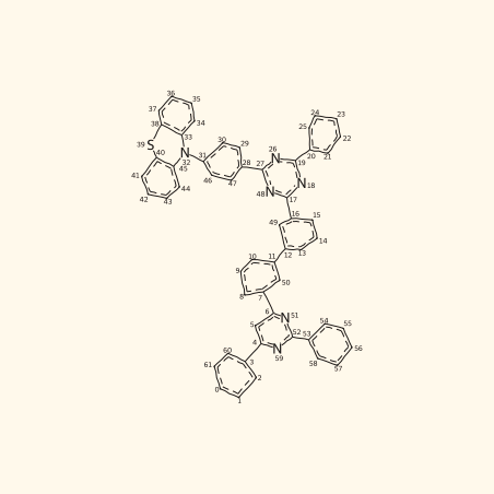 c1ccc(-c2cc(-c3cccc(-c4cccc(-c5nc(-c6ccccc6)nc(-c6ccc(N7c8ccccc8Sc8ccccc87)cc6)n5)c4)c3)nc(-c3ccccc3)n2)cc1